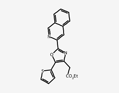 CCOC(=O)Cc1nc(-c2cc3ccccc3cn2)oc1-c1cccs1